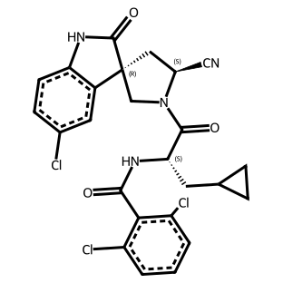 N#C[C@@H]1C[C@@]2(CN1C(=O)[C@H](CC1CC1)NC(=O)c1c(Cl)cccc1Cl)C(=O)Nc1ccc(Cl)cc12